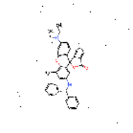 CCN(CC)c1ccc2c(c1)Oc1c(C)cc(NC(c3ccccc3)c3ccccc3)cc1C21OC(=O)c2ccccc21